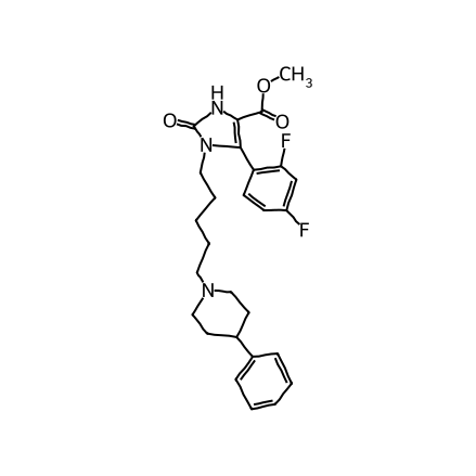 COC(=O)c1[nH]c(=O)n(CCCCCN2CCC(c3ccccc3)CC2)c1-c1ccc(F)cc1F